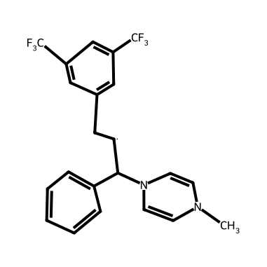 CN1C=CN(C([CH]Cc2cc(C(F)(F)F)cc(C(F)(F)F)c2)c2ccccc2)C=C1